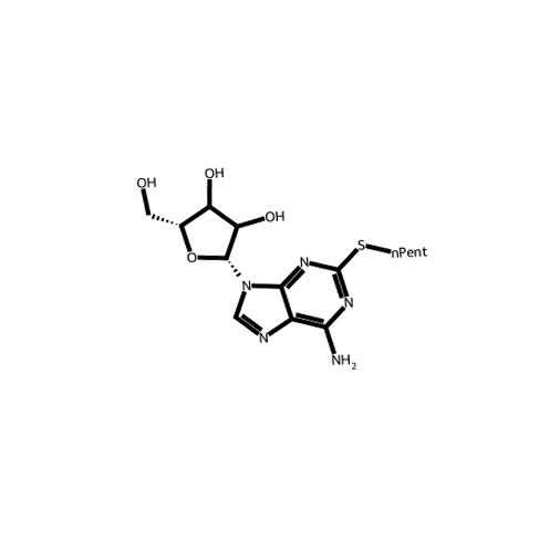 CCCCCSc1nc(N)c2ncn([C@@H]3O[C@H](CO)C(O)C3O)c2n1